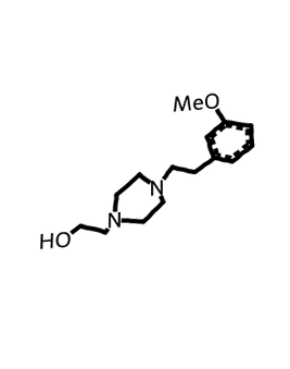 COc1cccc(CCN2CCN(CCO)CC2)c1